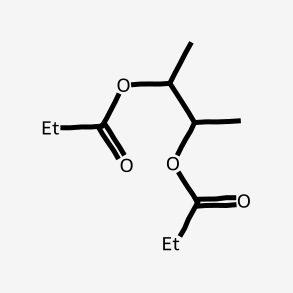 CCC(=O)OC(C)C(C)OC(=O)CC